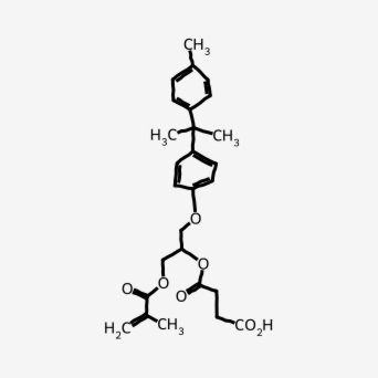 C=C(C)C(=O)OCC(COc1ccc(C(C)(C)c2ccc(C)cc2)cc1)OC(=O)CCC(=O)O